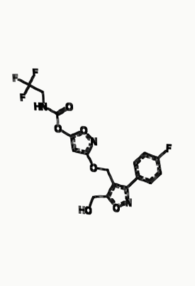 O=C(NCC(F)(F)F)Oc1cc(OCc2c(-c3ccc(F)cc3)noc2CO)no1